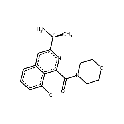 C[C@H](N)c1cc2cccc(Cl)c2c(C(=O)N2CCOCC2)n1